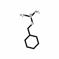 N[SiH](N)OCC1CCCCC1